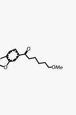 COCCCCCC(=O)c1ccc2c(c1)OCO2